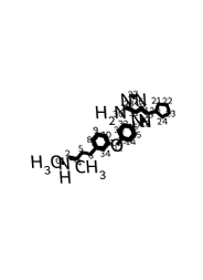 CN/C=C(\C)CCc1cccc(Oc2ccc(-n3nc(C4CCCC4)c4ncnc(N)c43)cc2)c1